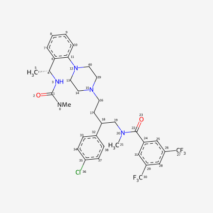 CNC(=O)N[C@H](C)c1ccccc1N1CCN(CCC(CN(C)C(=O)c2cc(C(F)(F)F)cc(C(F)(F)F)c2)c2ccc(Cl)cc2)CC1